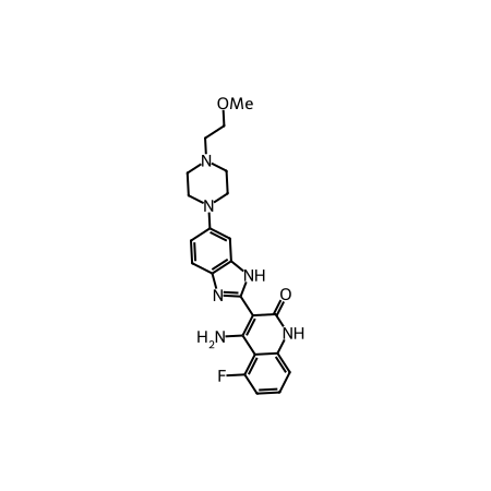 COCCN1CCN(c2ccc3nc(-c4c(N)c5c(F)cccc5[nH]c4=O)[nH]c3c2)CC1